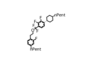 CCCCCc1ccc(CCOC(F)(F)c2ccc([C@H]3CC[C@H](CCCCC)CC3)c(F)c2F)c(F)c1